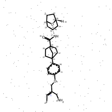 NC/C(=C\F)COc1ccc(C23CCC(C(=O)N[C@@H]4CC5CC[C@H](C4)O5)(CC2)CC3)cc1